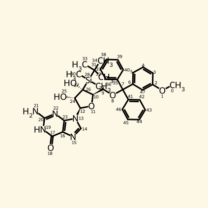 COc1cccc(C(OC[C@H]2O[C@@H](n3cnc4c(=O)[nH]c(N)nc43)[C@H](O)[C@@]2(O)[Si](C)(C)C(C)(C)C)(c2ccccc2)c2ccccc2)c1